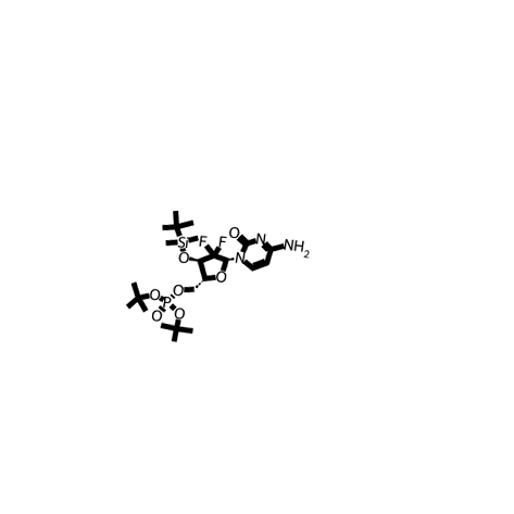 CC(C)(C)OP(=O)(OC[C@H]1O[C@@H](n2ccc(N)nc2=O)C(F)(F)[C@@H]1O[Si](C)(C)C(C)(C)C)OC(C)(C)C